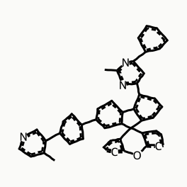 Cc1nc(-c2ccccc2)cc(-c2cccc3c2-c2ccc(-c4ccc(-c5cnccc5C)cc4)cc2C32c3ccccc3Oc3ccccc32)n1